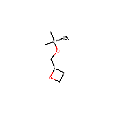 CC(C)(C)[Si](C)(C)OCC1CCO1